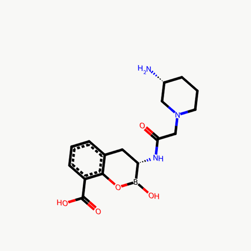 N[C@@H]1CCCN(CC(=O)N[C@H]2Cc3cccc(C(=O)O)c3OB2O)C1